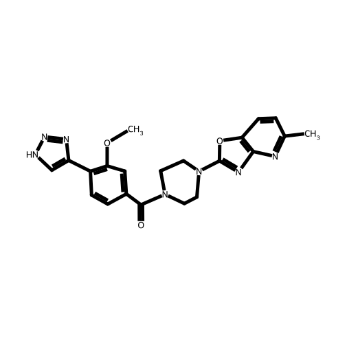 COc1cc(C(=O)N2CCN(c3nc4nc(C)ccc4o3)CC2)ccc1-c1c[nH]nn1